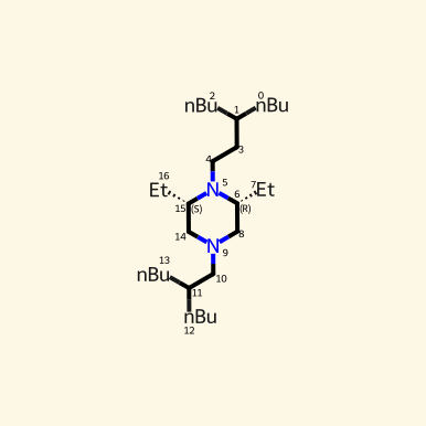 CCCCC(CCCC)CCN1[C@H](CC)CN(CC(CCCC)CCCC)C[C@@H]1CC